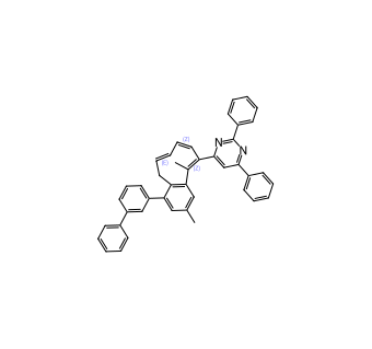 C\C1=C(c2cc(-c3ccccc3)nc(-c3ccccc3)n2)/C=C\C=C\Cc2c1cc(C)cc2-c1cccc(-c2ccccc2)c1